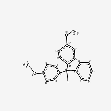 COc1ccc(C(I)(c2ccccc2)c2ccc(OC)cc2)cc1